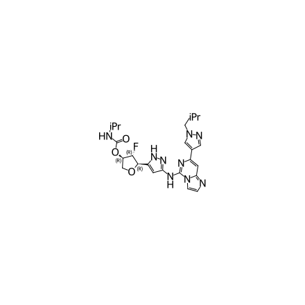 CC(C)Cn1cc(-c2cc3nccn3c(Nc3cc([C@H]4OC[C@@H](OC(=O)NC(C)C)[C@@H]4F)[nH]n3)n2)cn1